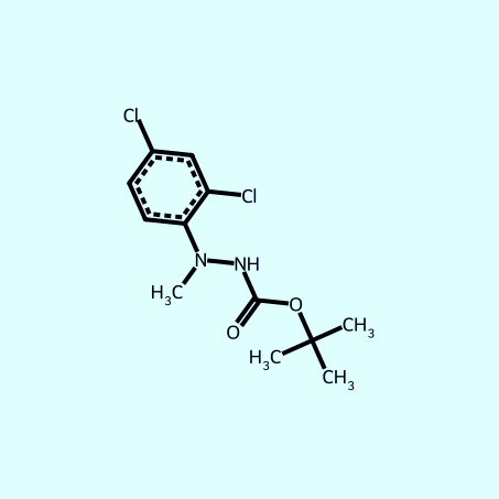 CN(NC(=O)OC(C)(C)C)c1ccc(Cl)cc1Cl